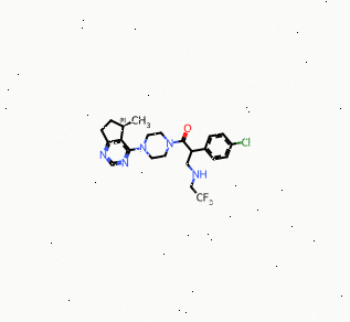 C[C@@H]1CCc2ncnc(N3CCN(C(=O)C(CNCC(F)(F)F)c4ccc(Cl)cc4)CC3)c21